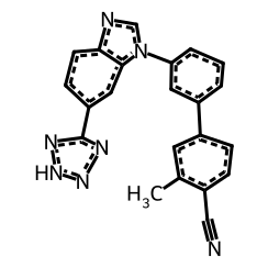 Cc1cc(-c2cccc(-n3cnc4ccc(-c5nn[nH]n5)cc43)c2)ccc1C#N